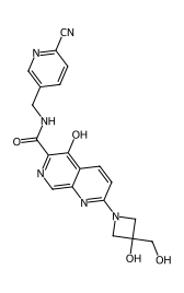 N#Cc1ccc(CNC(=O)c2ncc3nc(N4CC(O)(CO)C4)ccc3c2O)cn1